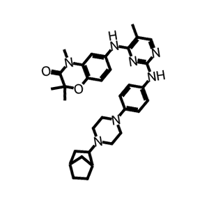 Cc1cnc(Nc2ccc(N3CCN(C4CC5CCC4C5)CC3)cc2)nc1Nc1ccc2c(c1)N(C)C(=O)C(C)(C)O2